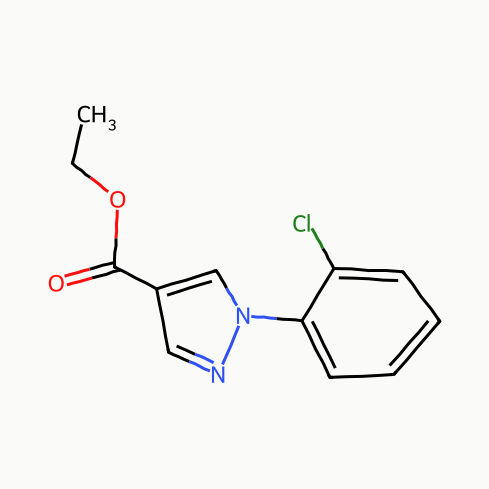 CCOC(=O)c1cnn(-c2ccccc2Cl)c1